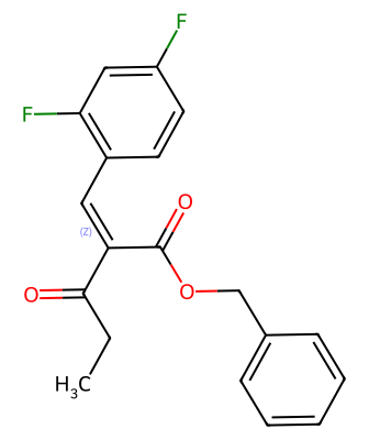 CCC(=O)/C(=C/c1ccc(F)cc1F)C(=O)OCc1ccccc1